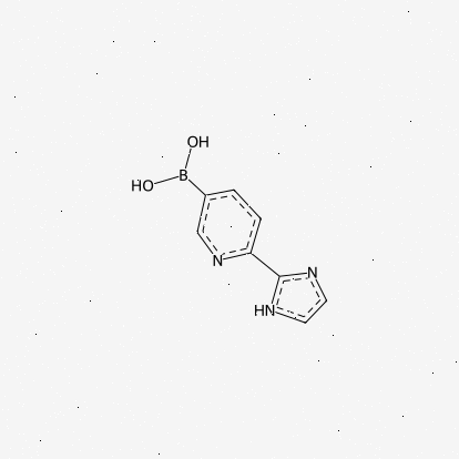 OB(O)c1ccc(-c2ncc[nH]2)nc1